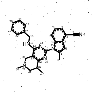 Cc1cc2c(C#N)cccc2n1-c1nc(NCc2ccccc2)c2c(n1)C(C)CN(C)C2